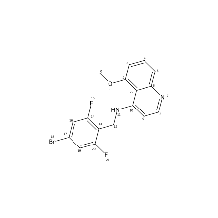 COc1cccc2nccc(NCc3c(F)cc(Br)cc3F)c12